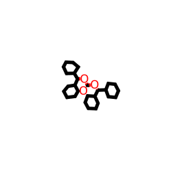 O=C(OC(C1CCCCC1)C1CCCCC1)OC(C1CCCCC1)C1CCCCC1